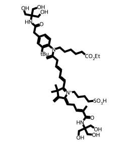 C=C(C/C=C/C=C/C1=[N+](CCCCS(=O)(=O)O)C(=C\C/C=C(\C)C(=O)NC(CO)(CO)CO)/C(=C)C1(C)C)N(CCCCCC(=O)OCC)c1ccc(CC(=O)NC(CO)(CO)CO)cc1C(C)(C)C